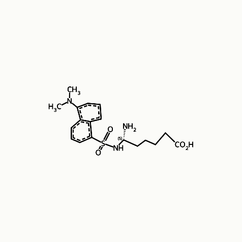 CN(C)c1cccc2c(S(=O)(=O)N[C@H](N)CCCCC(=O)O)cccc12